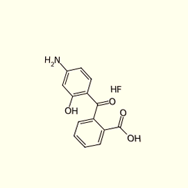 F.Nc1ccc(C(=O)c2ccccc2C(=O)O)c(O)c1